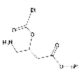 CCCOC(=O)C[C@H](CN)OC(=O)CC